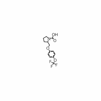 O=C(O)N1CCCC1COc1ccc(OC(F)(F)F)cc1